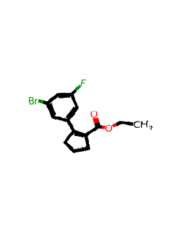 CCOC(=O)C1=C(c2cc(F)cc(Br)c2)CCC1